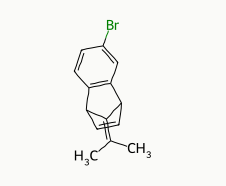 CC(C)=C1C2C=CC1c1cc(Br)ccc12